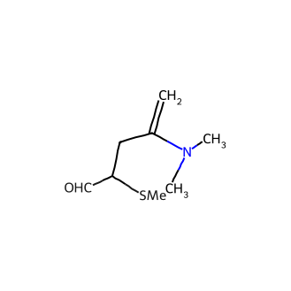 C=C(CC(C=O)SC)N(C)C